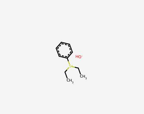 CC[S+](CC)c1ccccc1.[OH-]